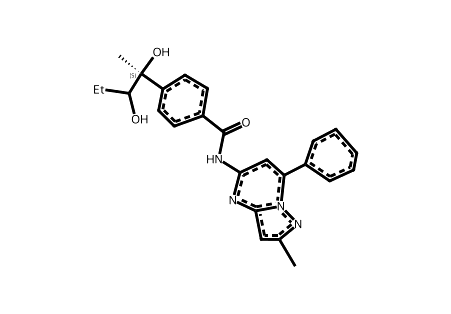 CCC(O)[C@@](C)(O)c1ccc(C(=O)Nc2cc(-c3ccccc3)n3nc(C)cc3n2)cc1